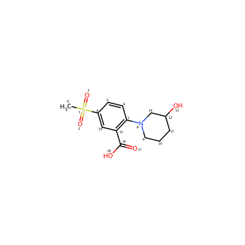 CS(=O)(=O)c1ccc(N2CCCC(O)C2)c(C(=O)O)c1